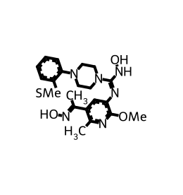 COc1nc(C)c(C(C)=NO)cc1N=C(NO)N1CCN(c2ccccc2SC)CC1